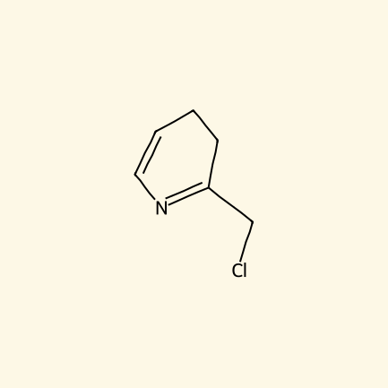 ClCC1=NC=CCC1